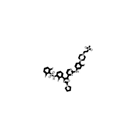 CS(=O)(=O)CCN1CCN(c2ccc(Nc3nccc(-c4oc(N5CCCC5)nc4-c4cccc(NS(=O)(=O)c5c(F)cccc5F)c4F)n3)cc2F)CC1